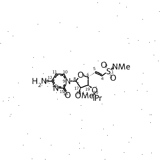 CNS(=O)(=O)/C=C/[C@H]1OC(n2ccc(N)nc2=O)[C@H](OC)[C@@H]1OC(C)C